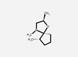 C[C@@H]1CN(C)[C@@]2(CCC[C@@H]2C)O1